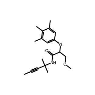 CC#CC(C)(C)NC(=O)C(COC)Oc1cc(C)c(C)c(C)c1